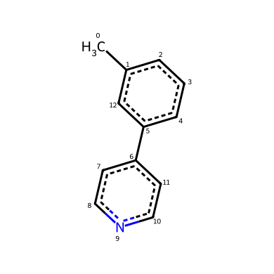 Cc1cccc(-c2ccncc2)c1